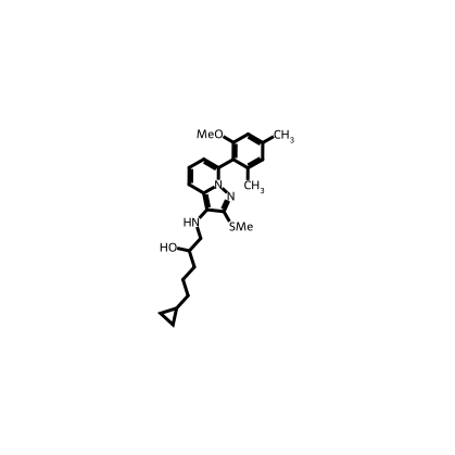 COc1cc(C)cc(C)c1-c1cccc2c(NCC(O)CCCC3CC3)c(SC)nn12